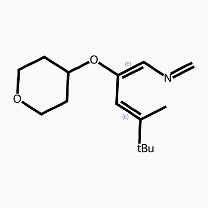 C=N/C=C(\C=C(/C)C(C)(C)C)OC1CCOCC1